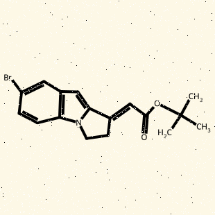 CC(C)(C)OC(=O)/C=C1\CCn2c1cc1cc(Br)ccc12